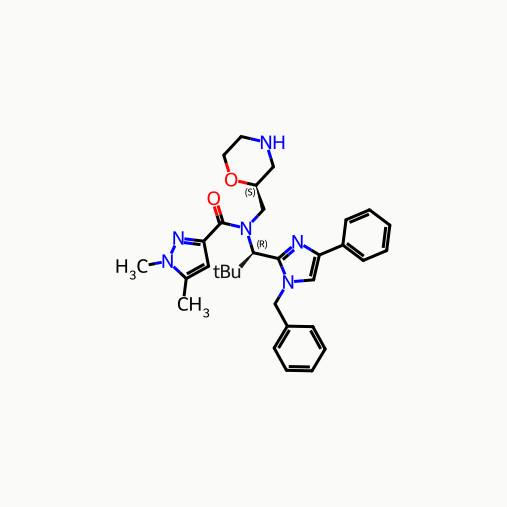 Cc1cc(C(=O)N(C[C@@H]2CNCCO2)[C@@H](c2nc(-c3ccccc3)cn2Cc2ccccc2)C(C)(C)C)nn1C